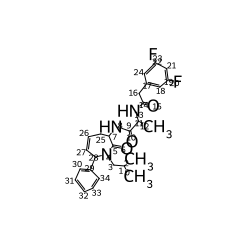 CC(C)CN1C(=O)C(NC(=O)[C@H](C)NC(=O)Cc2cc(F)cc(F)c2)CC=CC1c1ccccc1